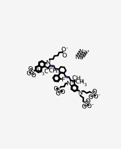 CC1(C)C(/C=C/C2=C(c3ccccc3F)C(=C/C=C3/N(CCCCCC(=O)[O-])c4ccc5cc(S(=O)(=O)[O-])ccc5c4C3(C)C)/CCC2)=[N+](CCCS(=O)(=O)[O-])c2ccc(N(CCCS(=O)(=O)[O-])CCCS(=O)(=O)[O-])cc21.[Na+].[Na+].[Na+].[Na+]